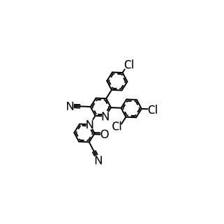 N#Cc1cc(-c2ccc(Cl)cc2)c(-c2ccc(Cl)cc2Cl)nc1-n1cccc(C#N)c1=O